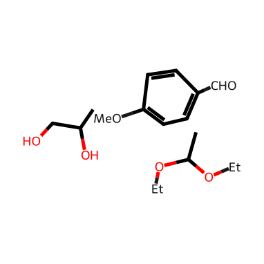 CC(O)CO.CCOC(C)OCC.COc1ccc(C=O)cc1